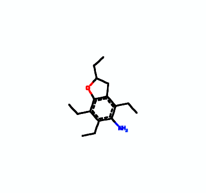 CCc1c(N)c(CC)c2c(c1CC)OC(CC)C2